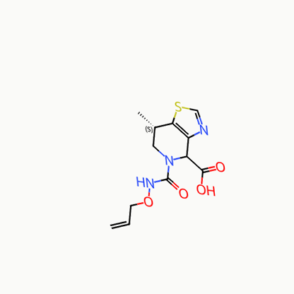 C=CCONC(=O)N1C[C@H](C)c2scnc2C1C(=O)O